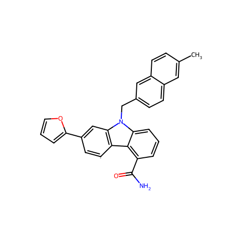 Cc1ccc2cc(Cn3c4cc(-c5ccco5)c[c]c4c4c(C(N)=O)cccc43)ccc2c1